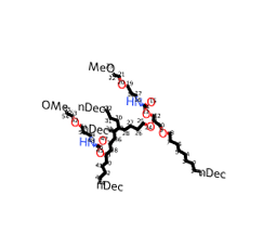 CCCCCCCCCCCCCCCCCCOCC(COC(=O)NCCCOCCOC)OCCCCC(CCCCCCCCCCCCC)C(CCCCCCCCCC)CCCC(CCCCCCCCCCCCCC)OC(=O)NCCCOCCOC